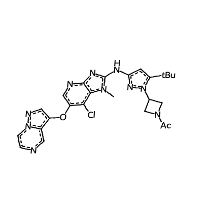 CC(=O)N1CC(n2nc(Nc3nc4ncc(Oc5cnn6ccncc56)c(Cl)c4n3C)cc2C(C)(C)C)C1